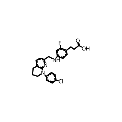 O=C(O)CCc1ccc(NCc2ccc3c(n2)N(c2ccc(Cl)cc2)CCC3)cc1F